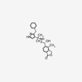 Cc1c([C@@H](O)CNC(C)(C)c2c[nH]nc2Cc2ccccc2)ccc2c1COC2=O